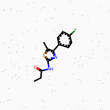 CCC(=O)Nc1nc(-c2ccc(F)cc2)c(C)s1